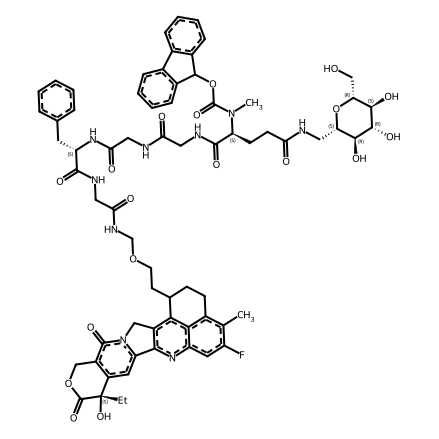 CC[C@@]1(O)C(=O)OCc2c1cc1n(c2=O)Cc2c-1nc1cc(F)c(C)c3c1c2C(CCOCNC(=O)CNC(=O)[C@H](Cc1ccccc1)NC(=O)CNC(=O)CNC(=O)[C@H](CCC(=O)NC[C@@H]1O[C@H](CO)[C@@H](O)[C@H](O)[C@H]1O)N(C)C(=O)OC1c2ccccc2-c2ccccc21)CC3